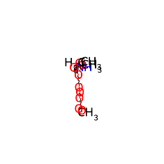 COC(=O)CCCCCOCCOCCOCCCCCCOc1ccc2c(c1)[C@H](NC(=O)OC(C)(C)C)CCO2